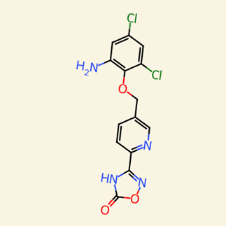 Nc1cc(Cl)cc(Cl)c1OCc1ccc(-c2noc(=O)[nH]2)nc1